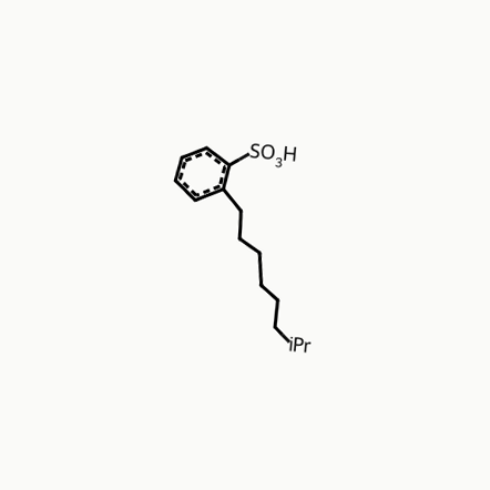 CC(C)CCCCCCc1ccccc1S(=O)(=O)O